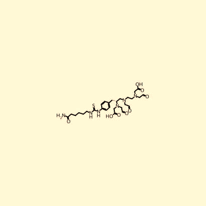 NC(=O)CCCCCNC(=S)Nc1ccc(C[C@H](CN(CC=O)CCN(CC=O)CC(=O)O)N(CC=O)CC(=O)O)cc1